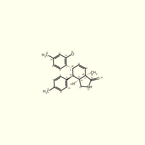 Cc1ccc([C@H]2[C@H](c3ccc(C)cc3Cl)C=C[C@@]3(C)C(=O)NC[C@@H]23)cc1